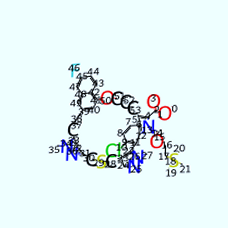 COC(=O)c1c2c3ccc(Cl)c(c3n1COCCS(C)(C)C)-c1c(cnn1C)CSCc1cc(n(C)n1)CCc1cc(c3ccc(F)cc3c1)OCCC2